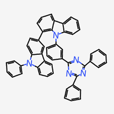 c1ccc(-c2nc(-c3ccccc3)nc(-c3cccc(-n4c5ccccc5c5cccc(-c6ccc7c(c6)c6ccccc6n7-c6ccccc6)c54)c3)n2)cc1